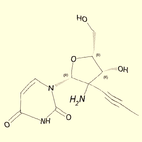 CC#CC1(N)[C@@H](O)[C@@H](CO)O[C@H]1n1ccc(=O)[nH]c1=O